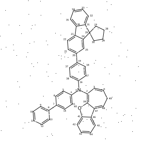 C1=CC(N(c2ccc(-c3ccccc3)cc2)c2ccc(-c3ccc4c(c3)C3(CCCC3)c3ccccc3-4)cc2)=c2oc3ccccc3c2=CC1